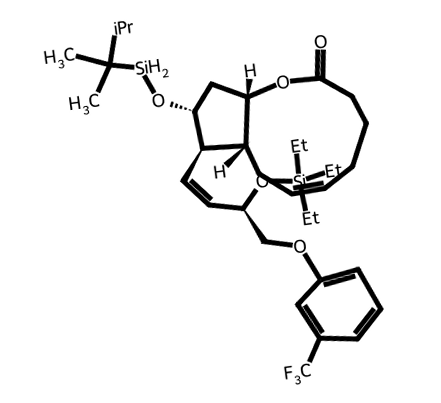 CC[Si](CC)(CC)O[C@H](/C=C\[C@@H]1[C@H]2CC=CCCCC(=O)O[C@H]2C[C@H]1O[SiH2]C(C)(C)C(C)C)COc1cccc(C(F)(F)F)c1